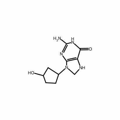 Nc1nc2c(c(=O)[nH]1)NCN2C1CCC(O)C1